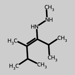 CNN/C(=C(\C)C(C)C)C(C)C